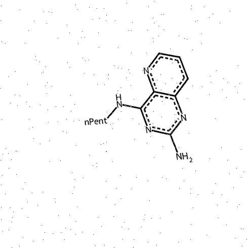 CCCCCNc1nc(N)nc2cccnc12